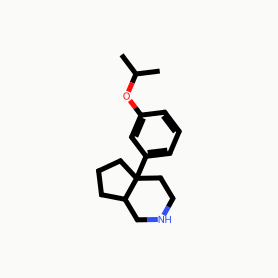 CC(C)Oc1cccc(C23CCCC2CNCC3)c1